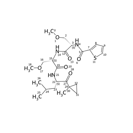 COC[C@H](NC(=O)c1cccs1)C(=O)N[C@@H](COC)C(=O)N[C@@H](CC(C)C)C(=O)C1(C)CC1